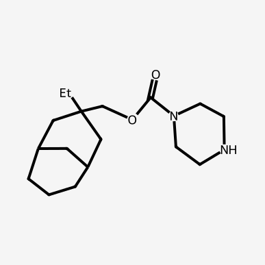 CCC1(COC(=O)N2CCNCC2)CC2CCCC(C2)C1